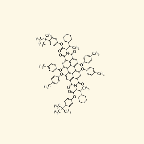 Cc1ccc(Oc2cc3c4c(cc(Oc5ccc(C)cc5)c5c6c(Oc7ccc(C)cc7)cc7c8c(cc(Oc9ccc(C)cc9)c(c2c45)c86)C(=O)N(C(C(=O)Oc2ccc(C(C)(C)C)cc2)C(C)C2CCCCC2)C7=O)C(=O)N(C(C(=O)Oc2ccc(C(C)(C)C)cc2)C(C)C2CCCCC2)C3=O)cc1